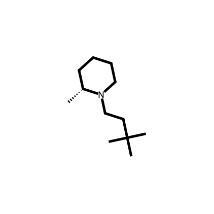 C[C@@H]1CCCCN1CCC(C)(C)C